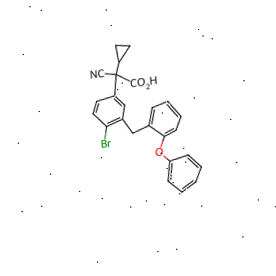 N#CC(C(=O)O)(c1ccc(Br)c(Cc2ccccc2Oc2ccccc2)c1)C1CC1